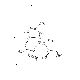 CC(=S)N[C@H]1[C@H]([C@H](O)[C@H](O)CO)O[C@](O)(C(=O)O)C[C@@H]1O